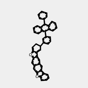 C1=c2oc3cc4cc5oc6ccccc6c5cc4cc3c2=CC(c2cccc(-c3c4ccccc4c(-c4ccccc4)c4ccccc34)c2)C1